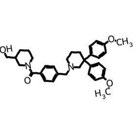 COc1ccc(C2(c3ccc(OC)cc3)CCCN(Cc3ccc(C(=O)N4CCCC(CO)C4)cc3)C2)cc1